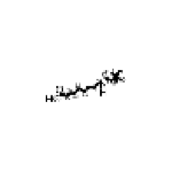 CC(C)(C)OC(=O)NCCCCCCCCC(=O)O